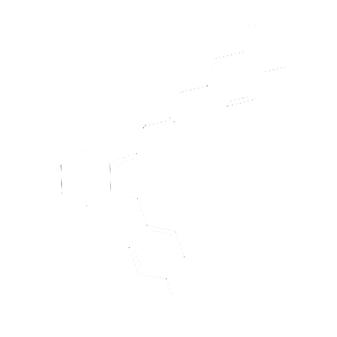 Cc1ccc2c(C(=O)NCc3ccc(Cl)c(Cl)c3)oc(-c3ccc(Cl)cc3)c2c1